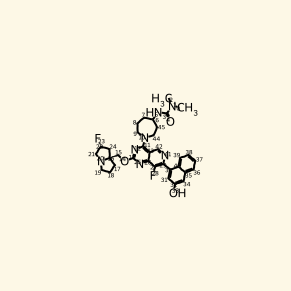 CN(C)C(=O)NC1CCCN(c2nc(OC[C@@]34CCCN3C[C@H](F)C4)nc3c(F)c(-c4cc(O)cc5ccccc45)ncc23)CC1